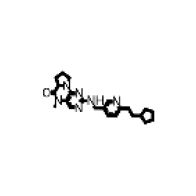 CN1C(=O)C2CCCN2c2nc(NCc3ccc(CCC4CCCC4)nc3)ncc21